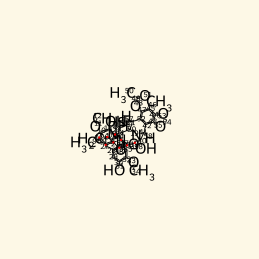 C=CCN1C2c3c(cc(C)c(OC)c3O)CC1[C@H](O)N1[C@H]2[C@@H]2SC[C@]3(NCCc4cc(O)c(OC)cc43)C(=O)OC[C@H]1c1c3c(c(C)c(OC(C)=O)c12)OCO3